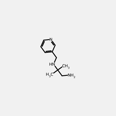 CC(C)(CN)NCc1cccnc1